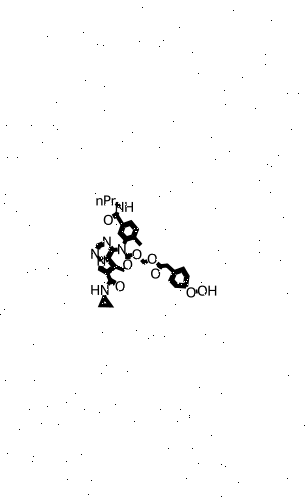 CCCNC(=O)c1ccc(C)c(N(C(=O)OCOC(=O)Cc2ccc(OO)cc2)c2ncnn3cc(C(=O)NC4CC4)c(C)c23)c1